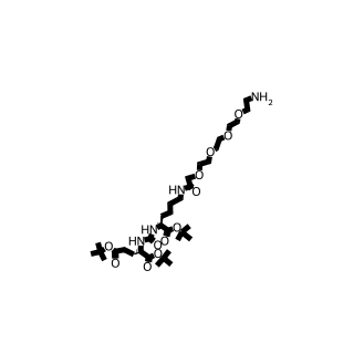 CC(C)(C)OC(=O)CC[C@H](NC(=O)N[C@@H](CCCCNC(=O)COCCOCCOCCOCCN)C(=O)OC(C)(C)C)C(=O)OC(C)(C)C